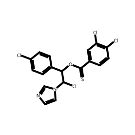 S=C(OC(c1ccc(Cl)cc1)C(Cl)n1ccnc1)c1ccc(Cl)c(Cl)c1